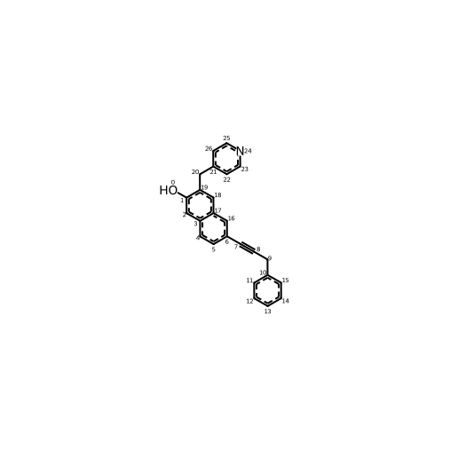 Oc1cc2ccc(C#CCc3ccccc3)cc2cc1Cc1ccncc1